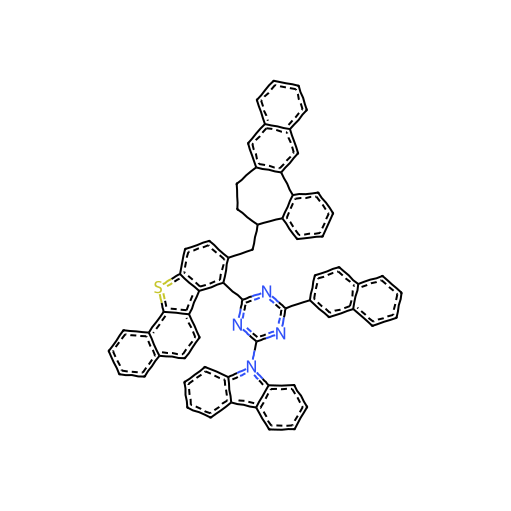 c1ccc2c(c1)-c1cc3ccccc3cc1CCC2Cc1ccc2sc3c4ccccc4ccc3c2c1-c1nc(-c2ccc3ccccc3c2)nc(-n2c3ccccc3c3ccccc32)n1